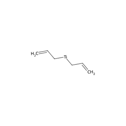 C=C[CH2][Ti][CH2]C=C